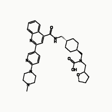 CN1CCN(c2ccc(-c3cc(C(=O)NC[C@H]4CC[C@H](CN(CC5CCCO5)C(=O)O)CC4)c4ccccc4n3)cn2)CC1